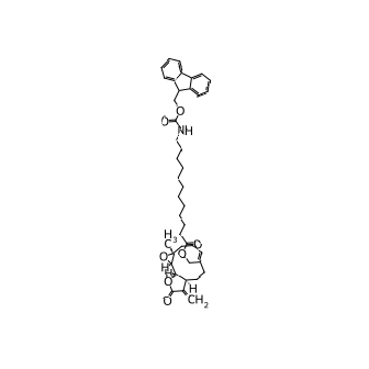 C=C1C(=O)O[C@H]2[C@H]1CC/C(COC(=O)CCCCCCCCCCCNC(=O)OCC1c3ccccc3-c3ccccc31)=C/CC[C@@]1(C)O[C@@H]21